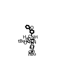 CCCCOC(=O)N1CCN(c2ncc(N[C@H](C)c3ccc4oc5ccccc5c4c3)c(=O)n2CC(=O)OC(C)(C)C)CC1